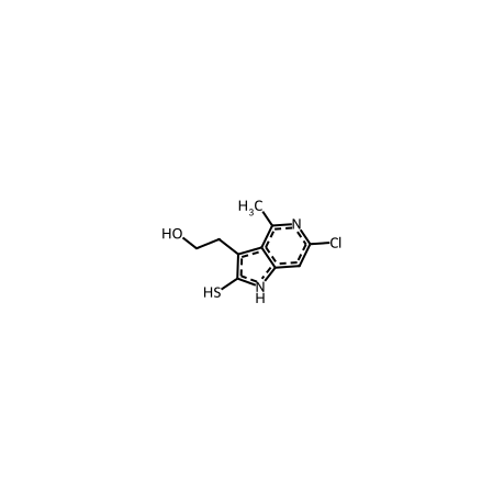 Cc1nc(Cl)cc2[nH]c(S)c(CCO)c12